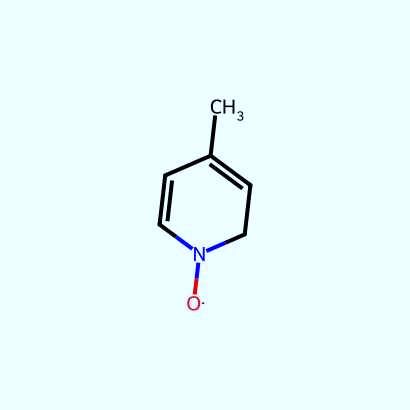 CC1=CCN([O])C=C1